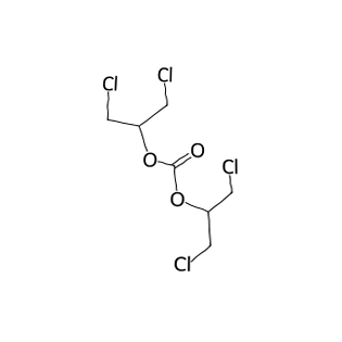 O=C(OC(CCl)CCl)OC(CCl)CCl